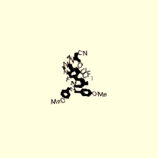 COc1ccc(CN(Cc2ccc(OC)cc2)c2cc(C)c(C(F)(F)F)c(-c3c(Cl)c4c5c(ncnc5c3F)N(C)C(CC#N)CO4)n2)cc1